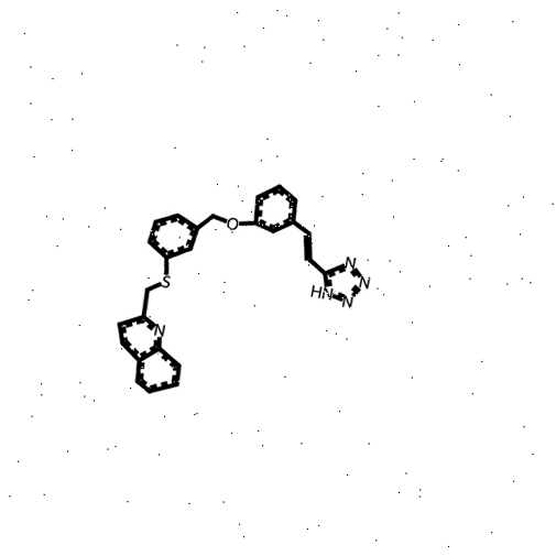 C(=Cc1nnn[nH]1)c1cccc(OCc2cccc(SCc3ccc4ccccc4n3)c2)c1